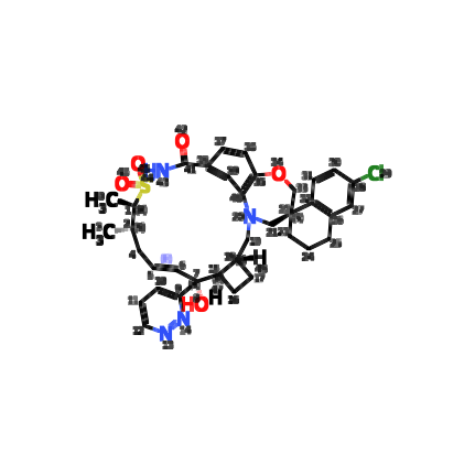 C[C@@H]1[C@@H](C)C/C=C/[C@](O)(c2cccnn2)[C@@H]2CC[C@H]2CN2C[C@@]3(CCCc4cc(Cl)ccc43)COc3ccc(cc32)C(=O)NS1(=O)=O